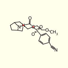 COCCOC(=O)N1CC2CCC(C1)N2CCCS(=O)(=O)c1ccc(C#N)cc1